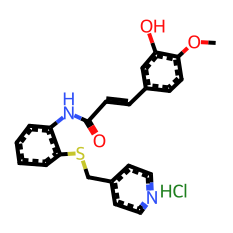 COc1ccc(C=CC(=O)Nc2ccccc2SCc2ccncc2)cc1O.Cl